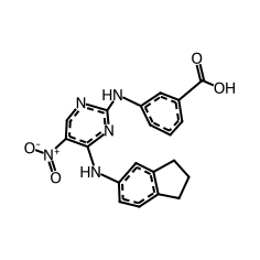 O=C(O)c1cccc(Nc2ncc([N+](=O)[O-])c(Nc3ccc4c(c3)CCC4)n2)c1